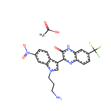 CC(=O)O.NCCCn1cc(-c2nc3ccc(C(F)(F)F)cc3[nH]c2=O)c2ccc([N+](=O)[O-])cc21